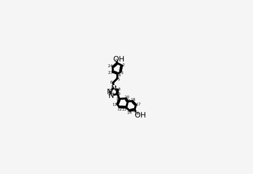 Oc1ccc(CCn2cc(-c3ccc4cc(O)ccc4c3)nn2)cc1